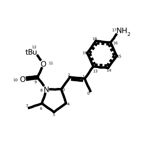 C/C(=C\C1CCC(C)N1C(=O)OC(C)(C)C)c1ccc(N)cc1